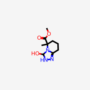 COC(=O)C1(C)CCCC2=NNC(O)N21